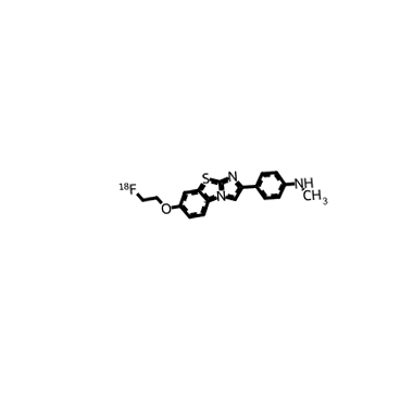 CNc1ccc(-c2cn3c(n2)sc2cc(OCC[18F])ccc23)cc1